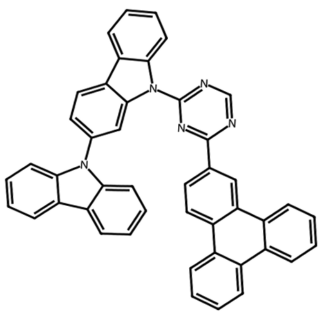 c1ccc2c(c1)c1ccccc1c1cc(-c3ncnc(-n4c5ccccc5c5ccc(-n6c7ccccc7c7ccccc76)cc54)n3)ccc21